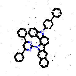 C1=C(c2ccccc2)CCC(n2c3ccccc3c3c2ccc2c4cc5ccccc5cc4n(-c4nc(-c5ccccc5)cc(-c5ccccc5)n4)c23)=C1